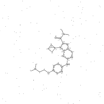 CN(C)CCOc1ccc(Nc2ncc3cc(C(=O)N(C)C)n(C45CC(C4)C5)c3n2)nc1